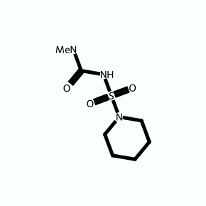 CNC(=O)NS(=O)(=O)N1CCCCC1